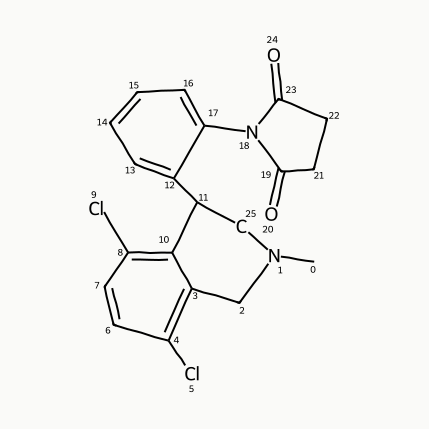 CN1Cc2c(Cl)ccc(Cl)c2C(c2ccccc2N2C(=O)CCC2=O)C1